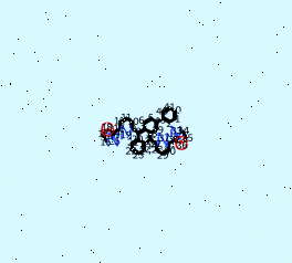 c1ccc(-c2ccc3c(-c4cccc(C5=NCCO5)n4)c4ccccc4c(-c4cccc(C5=NCCO5)n4)c3c2)cc1